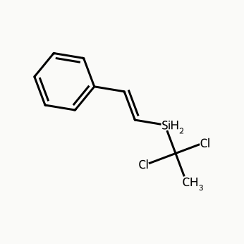 CC(Cl)(Cl)[SiH2]C=Cc1ccccc1